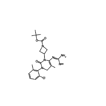 C=N/C(N)=N\C1=C(C)CN(c2c(C)cccc2Cl)C(=O)N1C1CN(C(=O)OC(C)(C)C)C1